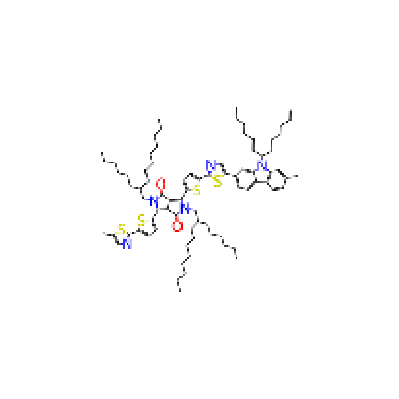 CCCCCCCCC(CCCCCC)CN1C(=O)C2=C(c3ccc(-c4ncc(-c5ccc6c7ccc(C)cc7n(C(CCCCCC)CCCCCC)c6c5)s4)s3)N(CC(CCCCCC)CCCCCCCC)C(=O)C2=C1c1ccc(-c2ncc(C)s2)s1